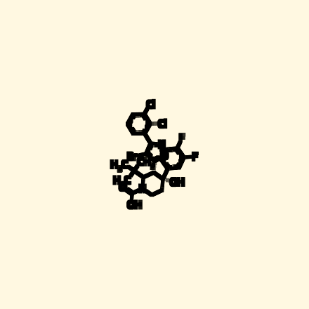 CC(C)(C)C1[C@H](c2onc(-c3cccc(Cl)c3Cl)c2Br)[C@@](O)(c2ccc(F)c(F)c2)CCN1C(=O)O